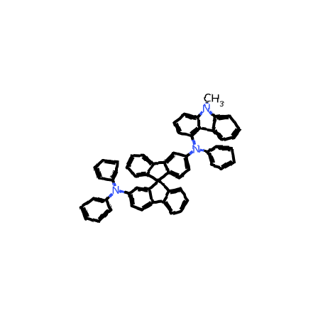 Cn1c2ccccc2c2c(N(c3ccccc3)c3ccc4c(c3)-c3ccccc3C43c4ccccc4-c4ccc(N(c5ccccc5)c5ccccc5)cc43)cccc21